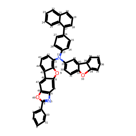 c1ccc(-c2nc3cc4oc5c(N(c6ccc(-c7cccc8ccccc78)cc6)c6ccc7oc8ccccc8c7c6)cccc5c4cc3o2)cc1